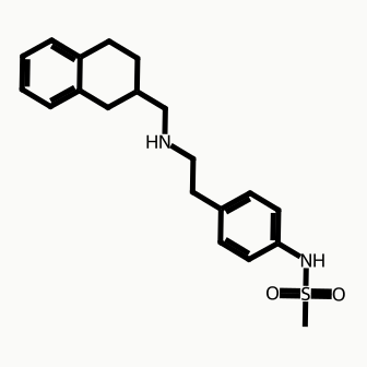 CS(=O)(=O)Nc1ccc(CCNCC2CCc3ccccc3C2)cc1